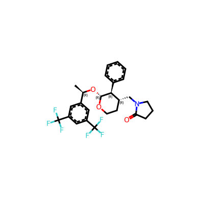 C[C@@H](O[C@H]1OCC[C@@H](CN2CCCC2=O)[C@@H]1c1ccccc1)c1cc(C(F)(F)F)cc(C(F)(F)F)c1